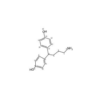 NC[CH]CC(c1ccc(O)cc1)c1ccc(O)cc1